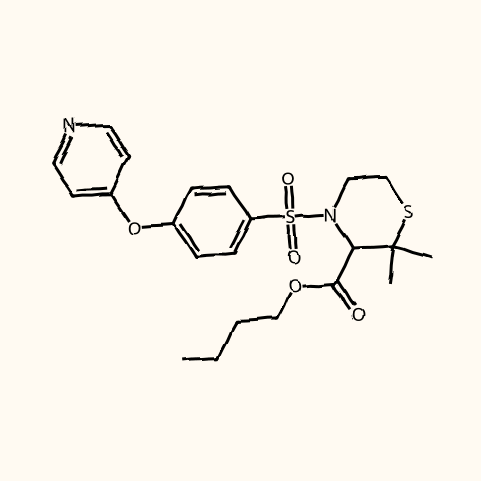 CCCCOC(=O)C1N(S(=O)(=O)c2ccc(Oc3ccncc3)cc2)CCSC1(C)C